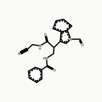 N#CCNC(=O)C(CNC(=O)c1ccccc1)c1cn(C=O)c2ccccc12